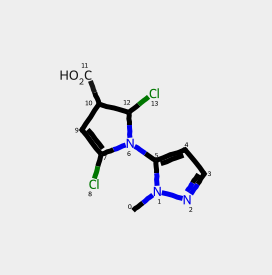 Cn1nccc1N1C(Cl)=CC(C(=O)O)C1Cl